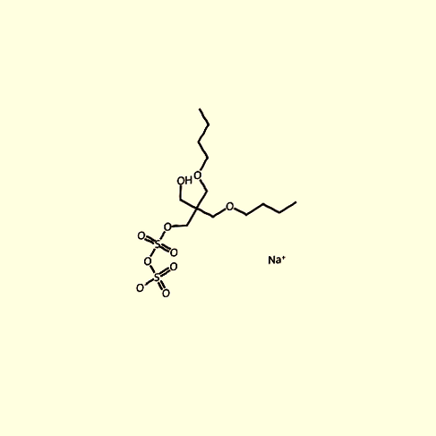 CCCCOCC(CO)(COCCCC)COS(=O)(=O)OS(=O)(=O)[O-].[Na+]